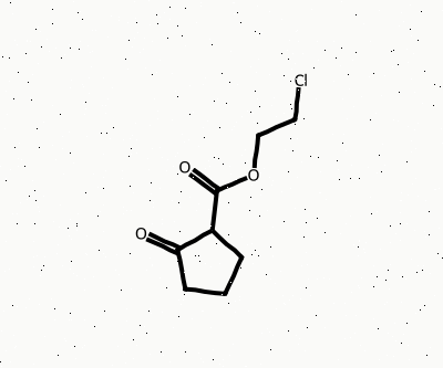 O=C1CCCC1C(=O)OCCCl